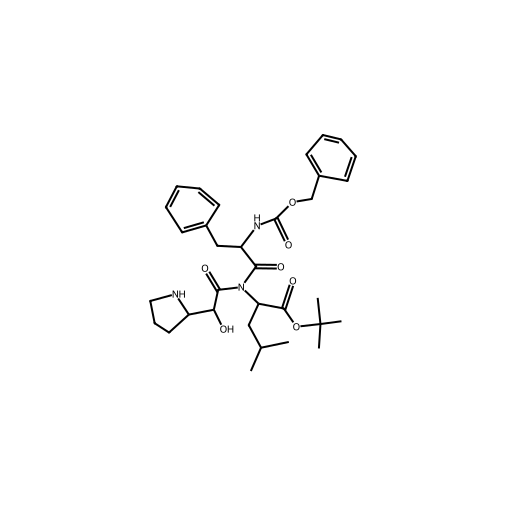 CC(C)CC(C(=O)OC(C)(C)C)N(C(=O)C(Cc1ccccc1)NC(=O)OCc1ccccc1)C(=O)C(O)C1CCCN1